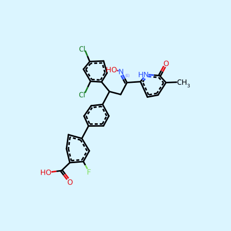 Cc1ccc(/C(CC(c2ccc(-c3ccc(C(=O)O)c(F)c3)cc2)c2ccc(Cl)cc2Cl)=N/O)[nH]c1=O